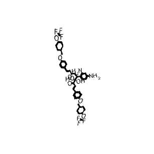 Nc1ccc(C(CC(=O)C=Cc2ccc(OCC3CCC(OC(F)(F)F)CC3)cc2)C(O)(O)C(=O)C=Cc2ccc(OCC3CCC(OC(F)(F)F)CC3)cc2)c(N)c1